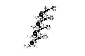 COc1ccc(NC(=O)[C@@H](CCCNC(=N)N)NC(=O)c2cc(NC(=O)[C@@H](CCCNC(=N)N)NC(=O)c3cc(NC(=O)[C@@H](CCCNC(=N)N)NC(=O)c4cc(NC(=O)[C@H](N)CCCNC(=N)N)ccc4OC)ccc3OC)ccc2OC)cc1C